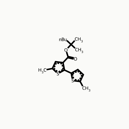 CCCCC(C)(C)OC(=O)c1cc(C)sc1-c1ccc(C)s1